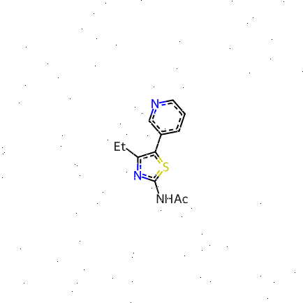 CCc1nc(NC(C)=O)sc1-c1cccnc1